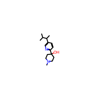 CC(C)C(C)c1ccc(C2(O)CCN(C)CC2)nc1